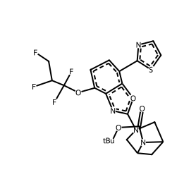 CC(C)(C)OC(=O)N1C2CC1CN(c1nc3c(OC(F)(F)C(F)CF)ccc(-c4nccs4)c3o1)C2